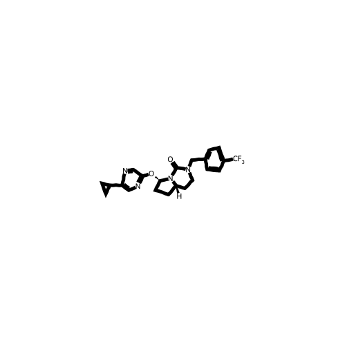 O=C1N(Cc2ccc(C(F)(F)F)cc2)CC[C@@H]2CC[C@H](Oc3cnc(C4CC4)cn3)N12